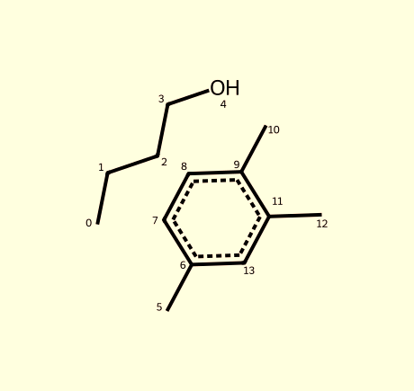 CCCCO.Cc1ccc(C)c(C)c1